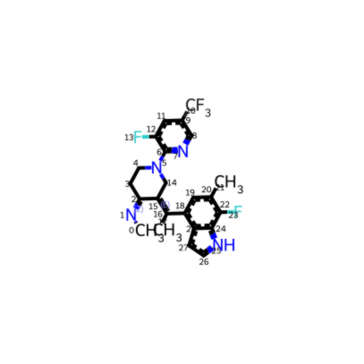 C/N=C1/CCN(c2ncc(C(F)(F)F)cc2F)C/C1=C(/C)c1cc(C)c(F)c2[nH]ccc12